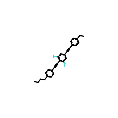 CCCCc1ccc(C#Cc2c(F)cc(C#Cc3ccc(CC)cc3)cc2F)cc1